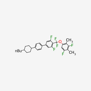 CCCCC1CCC(c2ccc(-c3cc(F)c(C(F)(F)Oc4cc(F)c(C)c(F)c4C)c(F)c3)cc2)CC1